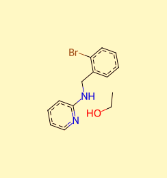 Brc1ccccc1CNc1ccccn1.CCO